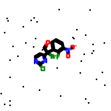 O=CC(Br)(c1ccnc(Cl)n1)c1cccc([N+](=O)[O-])c1F